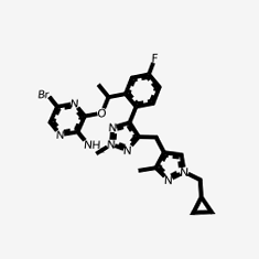 Cc1nn(CC2CC2)cc1Cc1nn(C)nc1-c1ccc(F)cc1C(C)Oc1nc(Br)cnc1N